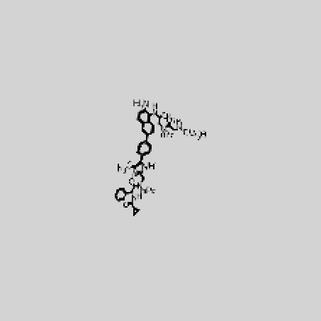 C=C(CN(CCC)C(=O)CNC(=O)O)Nc1c(N)ccc2cc(-c3ccc(-c4[nH]c(CN(CCC)C(=O)[C@H](NC(=O)C5CC5)c5ccccc5)nc4C)cc3)ccc12